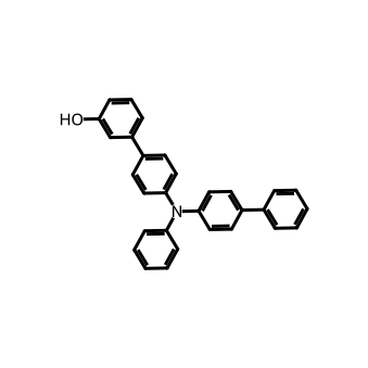 Oc1cccc(-c2ccc(N(c3ccccc3)c3ccc(-c4ccccc4)cc3)cc2)c1